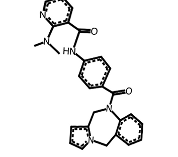 CN(C)c1ncccc1C(=O)Nc1ccc(C(=O)N2Cc3cccn3Cc3ccccc32)cc1